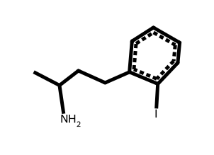 CC(N)CCc1ccccc1I